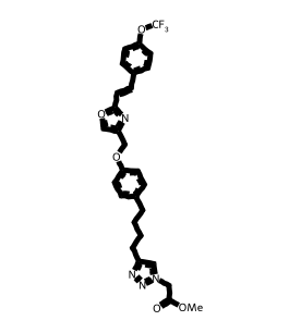 COC(=O)Cn1cc(CCCCc2ccc(OCc3coc(C=Cc4ccc(OC(F)(F)F)cc4)n3)cc2)nn1